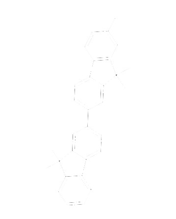 CC1(C)c2ccccc2-c2ccc(-c3ccc4c(c3)C(C)(C)c3cc(I)ccc3-4)cc21